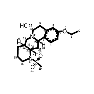 CCOc1ccc2c(c1)CCN1C[C@H]3CCCN(S(C)(=O)=O)[C@H]3C[C@@H]21.Cl